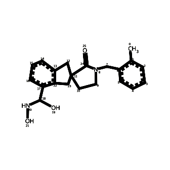 Cc1ccccc1CN1CCC2(Cc3cccc(C(O)NO)c3C2)C1=O